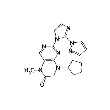 CN1C(=O)CN(C2CCCC2)c2nc(-n3ccnc3-n3cccn3)ncc21